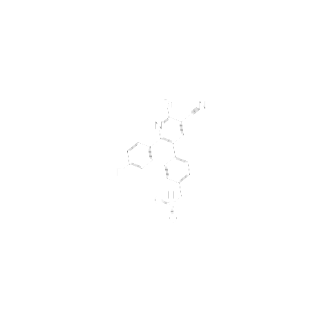 N#Cc1cc(-c2ccc(C[SH](=O)=O)cc2)c(-c2ccc(F)cc2)nc1Br